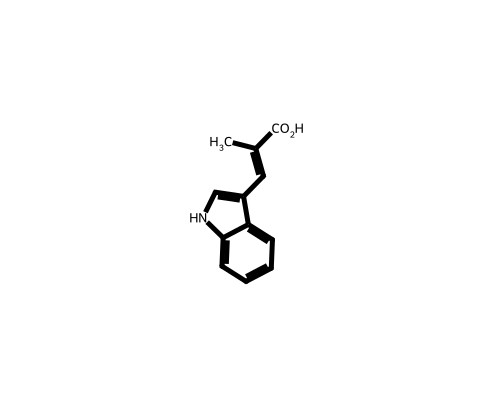 C/C(=C\c1c[nH]c2ccccc12)C(=O)O